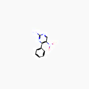 Nc1ncc([N+](=O)[O-])c(-c2ccccc2)n1